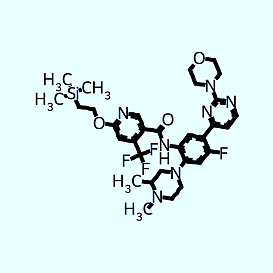 CC1CN(c2cc(F)c(-c3ccnc(N4CCOCC4)n3)cc2NC(=O)c2cnc(OCC[Si](C)(C)C)cc2C(F)(F)F)CCN1C